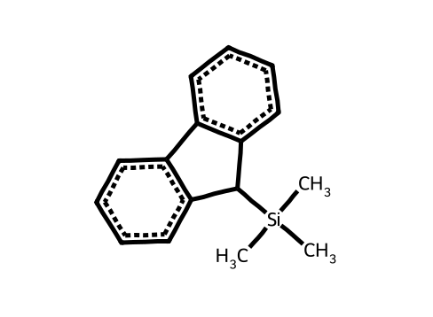 C[Si](C)(C)C1c2ccccc2-c2ccccc21